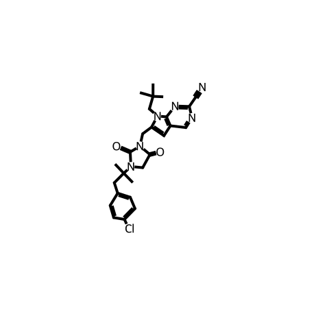 CC(C)(C)Cn1c(CN2C(=O)CN(C(C)(C)Cc3ccc(Cl)cc3)C2=O)cc2cnc(C#N)nc21